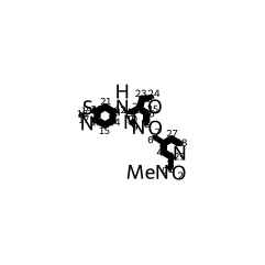 CNC(=O)c1cc(COc2nnc(Nc3ccc4ncsc4c3)c3ccoc23)ccn1